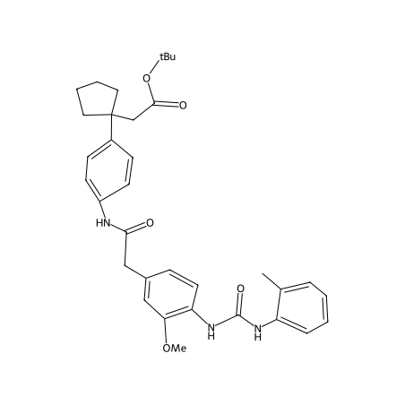 COc1cc(CC(=O)Nc2ccc(C3(CC(=O)OC(C)(C)C)CCCC3)cc2)ccc1NC(=O)Nc1ccccc1C